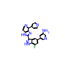 Nc1cncc(-c2cc(F)c3[nH]nc(-c4nc5c(-c6ccncc6)nccc5[nH]4)c3c2)c1